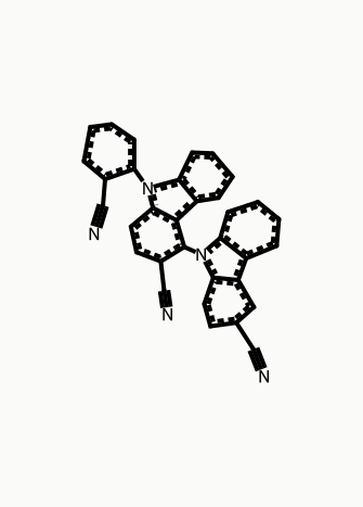 N#Cc1ccc2c(c1)c1ccccc1n2-c1c(C#N)ccc2c1c1ccccc1n2-c1ccccc1C#N